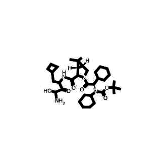 CC(C)(C)OC(=O)N(C1CCCCC1)[C@H](C(=O)N1C[C@@H]2[C@H](C1C(=O)NC(CC1CCC1)C(=O)C(N)O)C2(C)C)C1CCCCC1